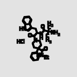 CCNC(=O)C1(c2ccccc2)CCN(C(=O)C(Cc2c[nH]c3ccccc23)NC(=O)C(C)(C)N)CC1.Cl